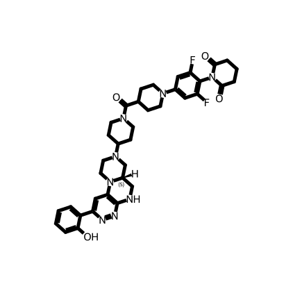 O=C(C1CCN(c2cc(F)c(N3C(=O)CCCC3=O)c(F)c2)CC1)N1CCC(N2CCN3c4cc(-c5ccccc5O)nnc4NC[C@H]3C2)CC1